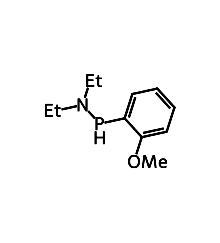 CCN(CC)Pc1ccccc1OC